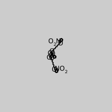 O=C(OCCCCCCCCOc1ccccc1[N+](=O)[O-])OB(OC(=O)OCCCCCCCCOc1ccccc1[N+](=O)[O-])c1ccccc1